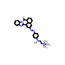 CCN(CC[N+](C)(C)C)c1ccc(/N=N/c2cc3cccc4c(=S)n5c6ccccc6nc5c(c2)c34)cc1